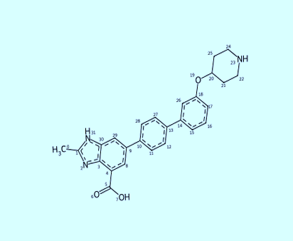 Cc1nc2c(C(=O)O)cc(-c3ccc(-c4cccc(OC5CCNCC5)c4)cc3)cc2[nH]1